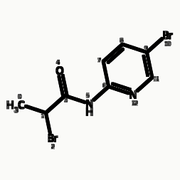 CC(Br)C(=O)Nc1ccc(Br)cn1